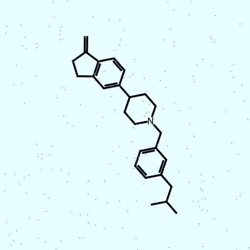 C=C1CCc2cc(C3CCN(Cc4cccc(CC(C)C)c4)CC3)ccc21